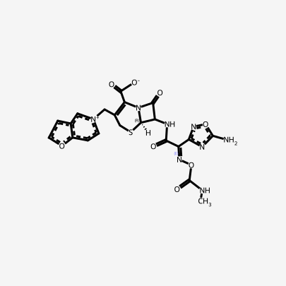 CNC(=O)O/N=C(/C(=O)NC1C(=O)N2C(C(=O)[O-])=C(C[n+]3ccc4occc4c3)CS[C@H]12)c1noc(N)n1